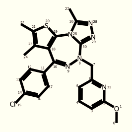 COc1cccc(CN2N=C(c3ccc(Cl)cc3)c3c(sc(C)c3C)-n3c(C)nnc32)n1